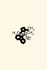 CC(C)c1cccc(C(C)C)c1[O][Ti+2][CH]1c2ccccc2-c2ccccc21.[Cl-].[Cl-]